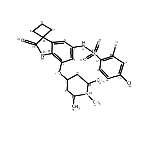 CC1CC(Oc2cc(NS(=O)(=O)c3ccc(Cl)cc3F)cc3c2NC(=O)C32CCC2)CC(C)N1C